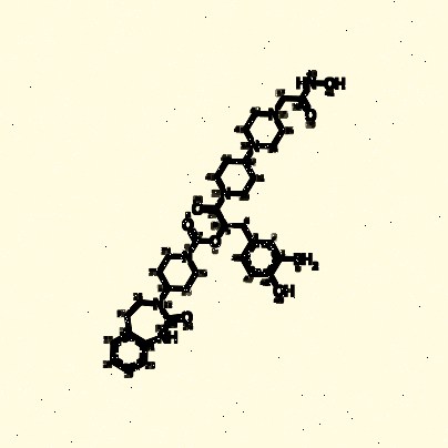 Bc1cc(C[C@@H](OC(=O)N2CCC(N3CCc4ccccc4NC3=O)CC2)C(=O)N2CCC(N3CCN(CC(=O)NO)CC3)CC2)ccc1O